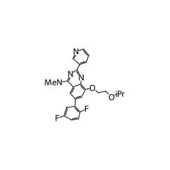 CNc1nc(-c2cccnc2)nc2c(OCCOC(C)C)cc(-c3cc(F)ccc3F)cc12